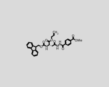 C=CCOC(=O)[C@H](CC(=O)NNC(=O)c1ccc(C(=O)OC)cc1)NC(=O)OCC1c2ccccc2-c2ccccc21